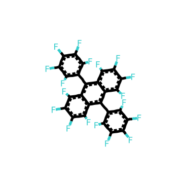 Fc1c(F)c(F)c(-c2c3c(F)c(F)c(F)c(F)c3c(-c3c(F)c(F)c(F)c(F)c3F)c3c(F)c(F)c(F)c(F)c23)c(F)c1F